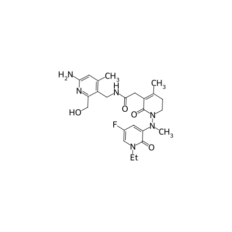 CCn1cc(F)cc(N(C)N2CCC(C)=C(CC(=O)NCc3c(C)cc(N)nc3CO)C2=O)c1=O